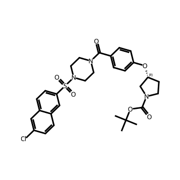 CC(C)(C)OC(=O)N1CC[C@@H](Oc2ccc(C(=O)N3CCN(S(=O)(=O)c4ccc5cc(Cl)ccc5c4)CC3)cc2)C1